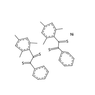 Cc1cc(C)c(C(=S)C(=S)c2ccccc2)c(C)c1.Cc1cc(C)c(C(=S)C(=S)c2ccccc2)c(C)c1.[Ni]